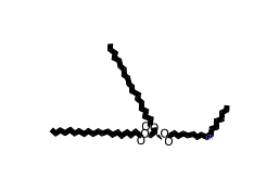 CCCCCCC/C=C\CCCCCCCC(=O)OC[C@H](COC(=O)CCCCCCCCCCCCCCCCCCC)OC(=O)CCCCCCCCCCCCCCCCCCC